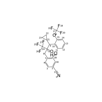 N#Cc1ccc(CC(O)(C(c2ccccc2OC(F)(F)F)C2CC2)C(F)(F)F)c(Cl)c1